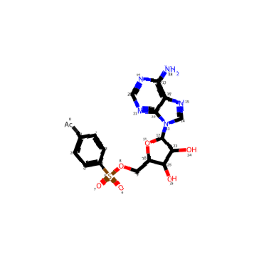 CC(=O)c1ccc(S(=O)(=O)OCC2OC(n3cnc4c(N)ncnc43)C(O)C2O)cc1